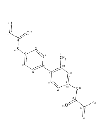 C=CC(=O)Sc1ccc(-c2ccc(SC(=O)C(=C)C)cc2C(F)(F)F)cc1